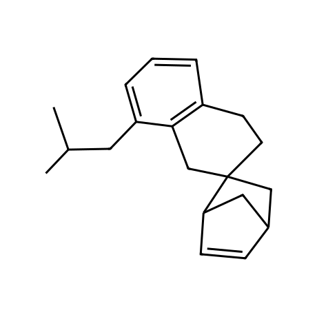 CC(C)Cc1cccc2c1CC1(CC2)CC2C=CC1C2